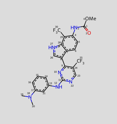 COC(=O)Nc1ccc2c(-c3nc(Nc4cccc(N(C)C)c4)ncc3C(F)(F)F)c[nH]c2c1C(F)(F)F